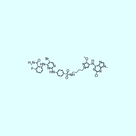 COc1nn(CCCCNS(=O)(=O)c2ccc(Nc3ncc(Br)c(Nc4cccc(F)c4C(N)=O)n3)cc2)cc1Nc1nc(Cl)nc2c1ncn2C